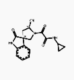 N#C[C@@H]1C[C@@]2(CN1C(=O)C(=O)NC1CC1)C(=O)Nc1ccccc12